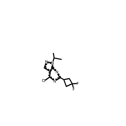 CC(C)n1ncc2c(Cl)nc(C3CC(F)(F)C3)nc21